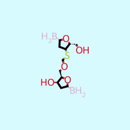 B[C@H]1CC(SCOC[C@H]2O[C@@H](B)C[C@H]2O)[C@@H](CO)O1